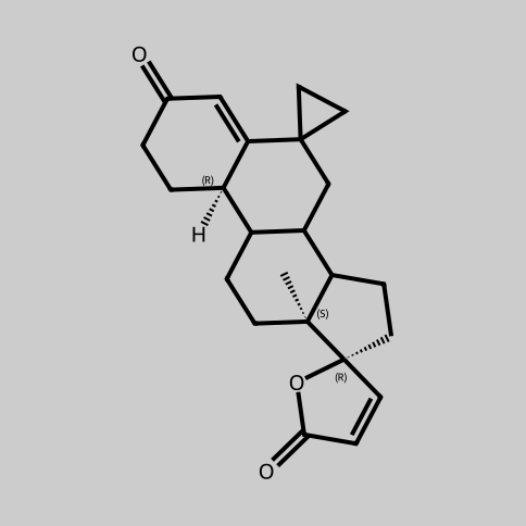 C[C@]12CCC3C(CC4(CC4)C4=CC(=O)CC[C@@H]43)C1CC[C@@]21C=CC(=O)O1